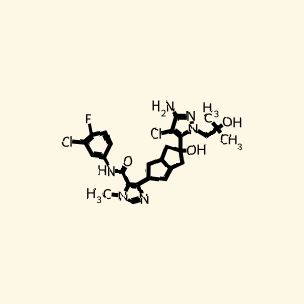 Cn1cnc(C2CC3CC(O)(c4c(Cl)c(N)nn4CC(C)(C)O)CC3C2)c1C(=O)Nc1ccc(F)c(Cl)c1